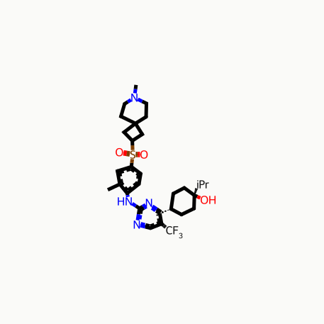 Cc1cc(S(=O)(=O)C2CC3(CCN(C)CC3)C2)ccc1Nc1ncc(C(F)(F)F)c([C@H]2CC[C@](O)(C(C)C)CC2)n1